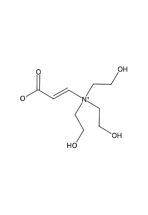 O=C([O-])C=C[N+](CCO)(CCO)CCO